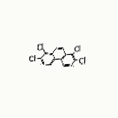 Clc1[c]cc2c(ccc3c(Cl)c(Cl)[c]cc32)c1Cl